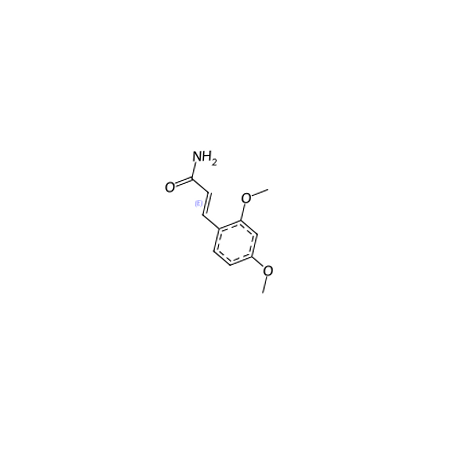 COc1ccc(/C=C/C(N)=O)c(OC)c1